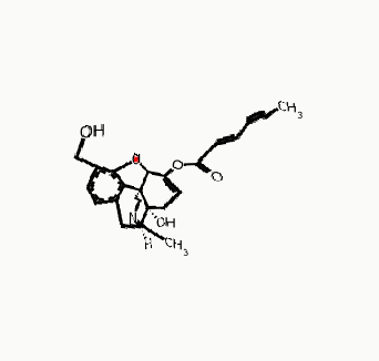 C/C=C/C=C/C(=O)OC1=CC[C@@]2(O)[C@H]3Cc4ccc(CO)c5c4[C@@]2(CCN3C)[C@H]1O5